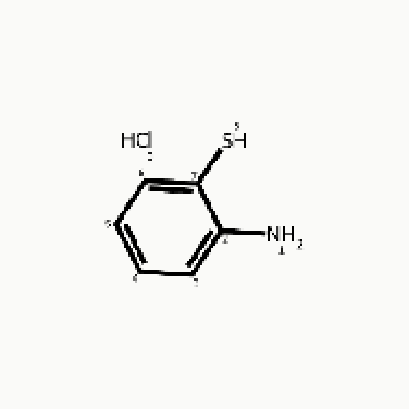 Cl.Nc1ccccc1S